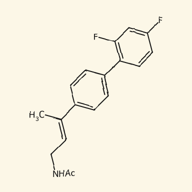 CC(=O)NCC=C(C)c1ccc(-c2ccc(F)cc2F)cc1